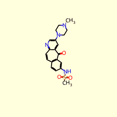 CN1CCN(c2cnc3ccc4ccc(NS(C)(=O)=O)cc4c(=O)c3c2)CC1